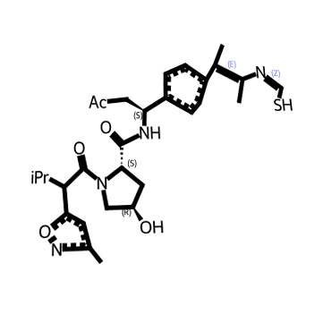 CC(=O)C[C@H](NC(=O)[C@@H]1C[C@@H](O)CN1C(=O)C(c1cc(C)no1)C(C)C)c1ccc(/C(C)=C(C)/N=C\S)cc1